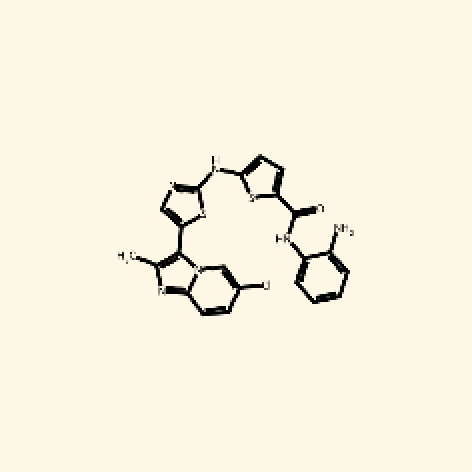 Cc1nc2ccc(Cl)cn2c1-c1cnc(Nc2ccc(C(=O)Nc3ccccc3N)s2)s1